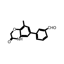 Cc1cc(-c2cccc(C=O)c2)cc2c1OCC(=O)N2